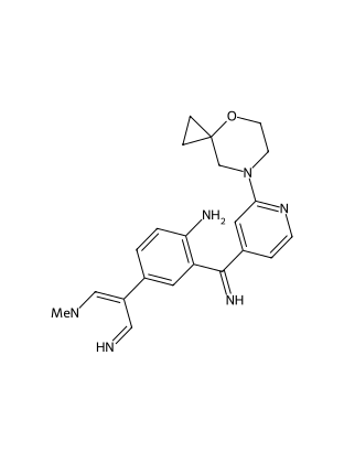 CN/C=C(\C=N)c1ccc(N)c(C(=N)c2ccnc(N3CCOC4(CC4)C3)c2)c1